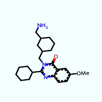 COc1ccc2nc(C3CCCCC3)n(CC3CCCC(CN)C3)c(=O)c2c1